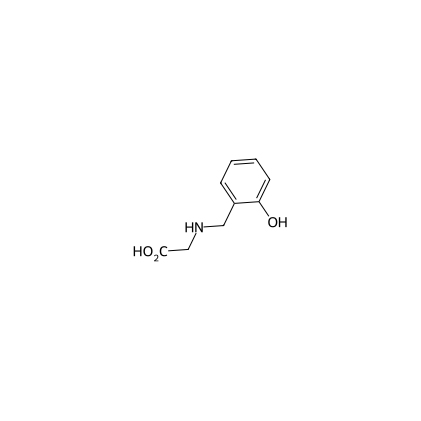 O=C(O)CNCc1ccccc1O